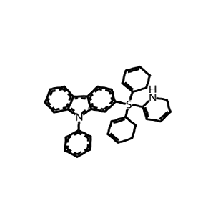 C1=CCCC(S(C2=CC=CCC2)(C2=CC=CCN2)c2ccc3c4ccccc4n(-c4ccccc4)c3c2)=C1